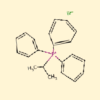 CC(C)[P+](c1ccccc1)(c1ccccc1)c1ccccc1.[Br-]